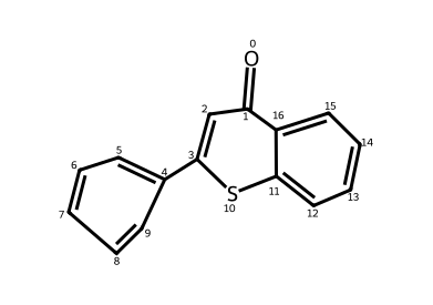 O=c1cc(-c2ccccc2)sc2ccccc12